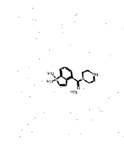 Cl.O=C(c1cccc2c1C=CS2(O)O)N1CCNCC1